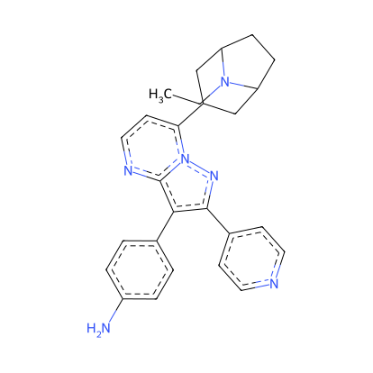 CCN1C2CCC1CC(c1ccnc3c(-c4ccc(N)cc4)c(-c4ccncc4)nn13)C2